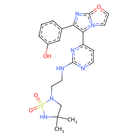 CC1(C)CN(CCNc2nccc(-c3c(-c4cccc(O)c4)nc4occn34)n2)S(=O)(=O)N1